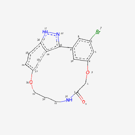 O=C1COc2cc(Br)cc(c2)-c2n[nH]c3ccc(cc23)OCCCN1